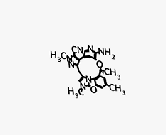 Cc1ccc2c(c1)[C@@H](C)Oc1cc(cnc1N)-c1c(nn(C)c1C#N)Cc1cn(C)c(=O)n1-2